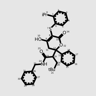 CC(C)c1ccccc1SC1=C(O)CC(c2ccccc2)(C(CC(C)(C)C)C(=O)NCc2ccccc2)OC1=O